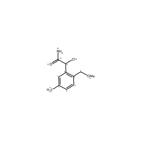 COCc1ccc(C)cc1C(Cl)C(N)=O